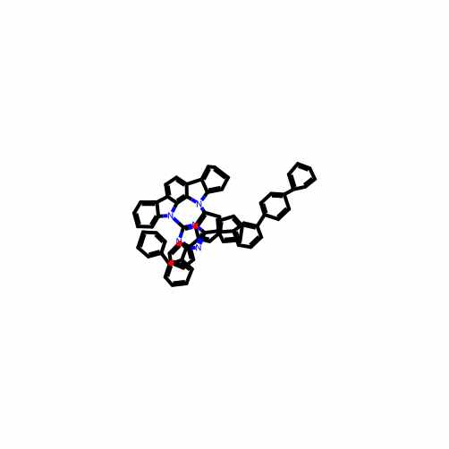 c1ccc(-c2ccc(-c3cccc(-c4cc(-c5ccccc5)cc(-n5c6ccccc6c6ccc7c8ccccc8n(-c8nc(-c9ccccc9)nc(-c9ccccc9-c9ccccc9)n8)c7c65)c4)c3)cc2)cc1